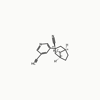 C#Cc1cncc([C@]2(C#N)C[C@H]3CC[C@@H](C2)N3C)c1